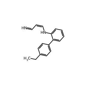 CCc1ccc(-c2ccccc2N/C=C\C=N)cc1